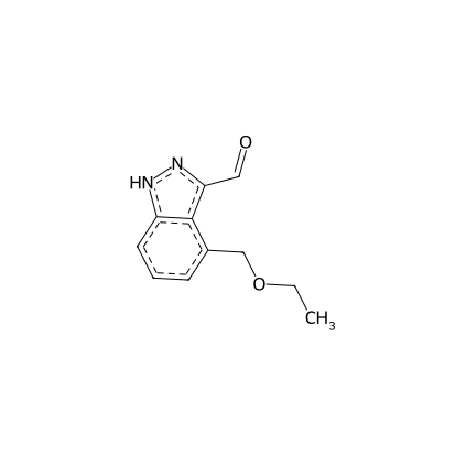 CCOCc1cccc2[nH]nc(C=O)c12